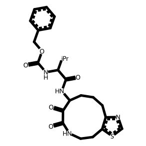 CC(C)C(NC(=O)OCc1ccccc1)C(=O)NC1CCCc2ncsc2CCNC(=O)C1=O